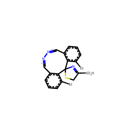 CCc1cccc2c1C1(N=C(S(=O)(=O)O)CS1)c1c(cccc1CC)/C=N\N=C/2